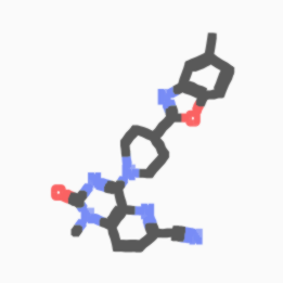 Cc1ccc2oc(C3CCN(c4nc(=O)n(C)c5ccc(C#N)nc45)CC3)nc2c1